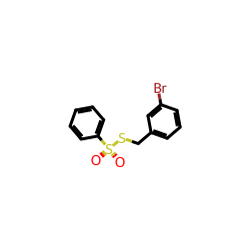 O=S(=O)(SCc1cccc(Br)c1)c1ccccc1